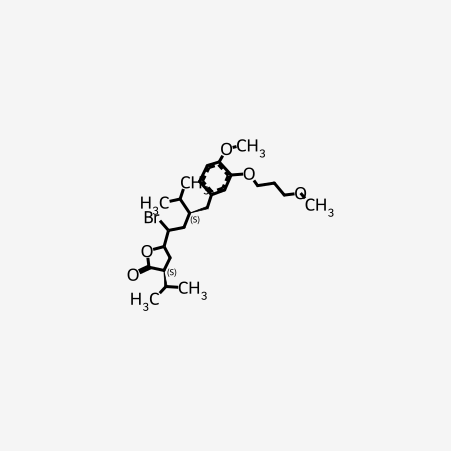 COCCCOc1cc(C[C@@H](CC(Br)C2C[C@@H](C(C)C)C(=O)O2)C(C)C)ccc1OC